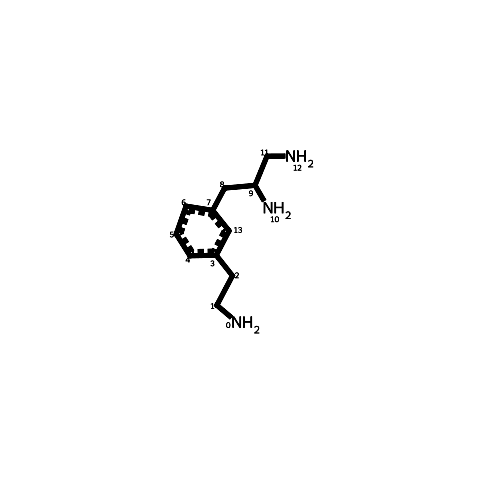 NCCc1cccc(CC(N)CN)c1